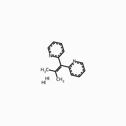 CC(C)=C(c1ccccn1)c1ccccn1.I.I